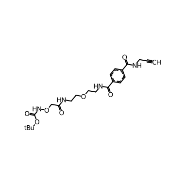 C#CCNC(=O)c1ccc(C(=O)NCCOCCNC(=O)CONC(=O)OC(C)(C)C)cc1